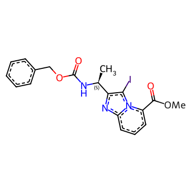 COC(=O)c1cccc2nc([C@H](C)NC(=O)OCc3ccccc3)c(I)n12